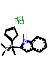 C[SiH](C)[Ti]([CH3])([C]1=CC=CC1)[c]1cc2ccccc2[nH]1.Cl.Cl